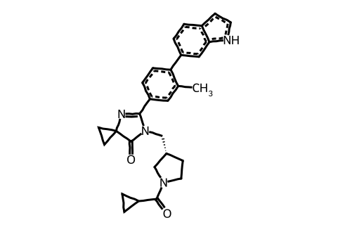 Cc1cc(C2=NC3(CC3)C(=O)N2C[C@@H]2CCN(C(=O)C3CC3)C2)ccc1-c1ccc2cc[nH]c2c1